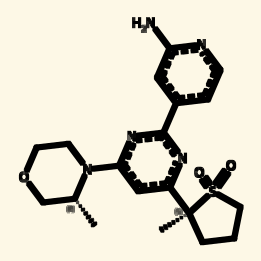 C[C@@H]1COCCN1c1cc([C@]2(C)CCCS2(=O)=O)nc(-c2ccnc(N)c2)n1